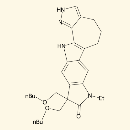 CCCCOCC1(COCCCC)C(=O)N(CC)c2cc3c4c([nH]c3cc21)-c1n[nH]cc1CCC4